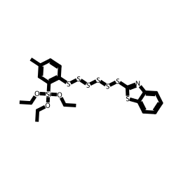 CCO[Si](OCC)(OCC)c1cc(C)ccc1SSSSSSc1nc2ccccc2s1